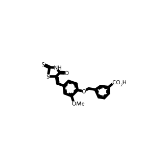 COc1cc(/C=C2/SC(=S)NC2=O)ccc1OCc1cccc(C(=O)O)c1